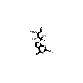 CO[C@H](CO)[C@@H](O)[C@@](C)(O)n1ccc2c(N)nc(N)nc21